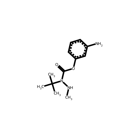 CNN(C(=O)Oc1cccc(N)c1)C(C)(C)C